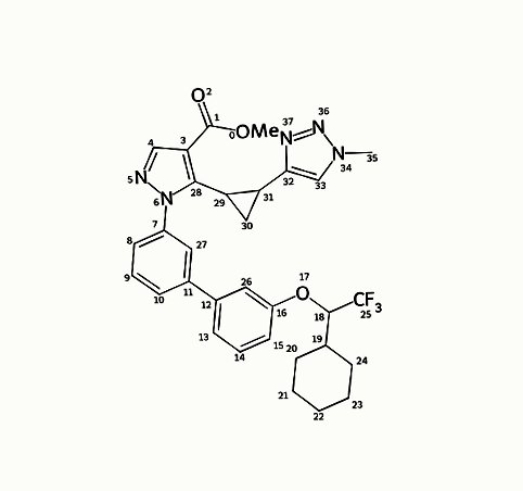 COC(=O)c1cnn(-c2cccc(-c3cccc(OC(C4CCCCC4)C(F)(F)F)c3)c2)c1C1CC1c1cn(C)nn1